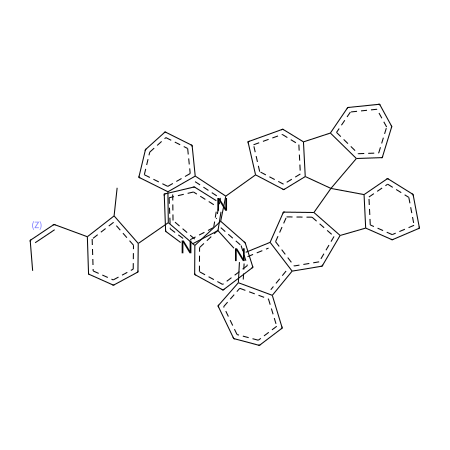 C/C=C\c1cccc(-c2c3ccccc3c(-c3ccc4c(c3)C3(c5ccccc5-4)c4ccccc4-c4cc5c6ccccc6n(-c6ncccn6)c5cc43)c3ccccc23)c1C